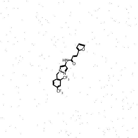 O=C(C=Cc1ccco1)Nc1cnn(Cc2ccc(C(F)(F)F)cc2C(F)(F)F)c1